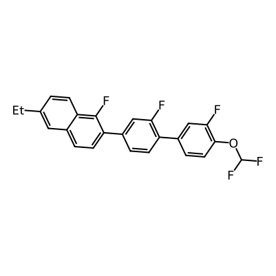 CCc1ccc2c(F)c(-c3ccc(-c4ccc(OC(F)F)c(F)c4)c(F)c3)ccc2c1